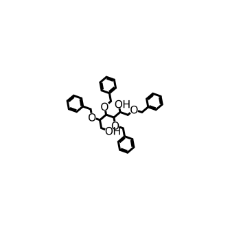 OCC(OCc1ccccc1)C(OCc1ccccc1)C(OCc1ccccc1)C(O)COCc1ccccc1